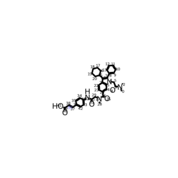 CN(C)C(=O)Cn1c(-c2ccccc2)c(C2CCCCC2)c2ccc(C(=O)N(C)CC(=O)Nc3ccc(/C=C/C(=O)O)cc3)cc21